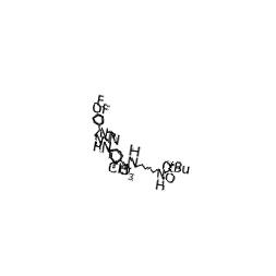 Cc1cc(Nc2nccn3c(-c4ccc(OC(F)F)cc4)cnc23)ccc1C(=O)NCCCCCCNC(=O)OC(C)(C)C